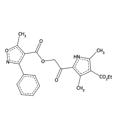 CCOC(=O)c1c(C)[nH]c(C(=O)COC(=O)c2c(-c3ccccc3)noc2C)c1C